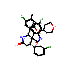 Cc1cc(OC2CCOCC2)c(C2NC(=O)C[C@@H](C3C=CC=C(Cl)C3)[C@]23C(=O)Nc2cc(Cl)ccc23)cc1Cl